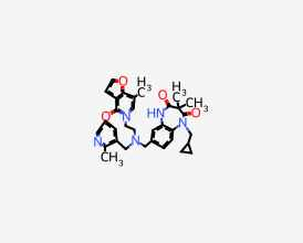 Cc1ncccc1CN(CCn1cc(C)c2occc2c1=O)Cc1ccc2c(c1)NC(=O)C(C)(C)C(=O)N2CC1CC1